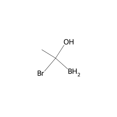 BC(C)(O)Br